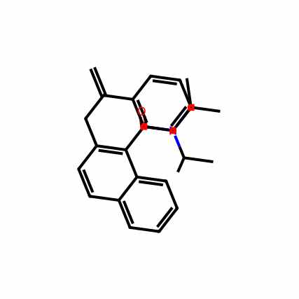 C=C(Cc1ccc2ccccc2c1C(=O)N(C(C)C)C(C)C)c1ccccc1